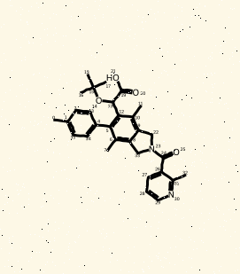 Cc1ccc(-c2c(C)c3c(c(C)c2C(OC(C)(C)C)C(=O)O)CN(C(=O)c2cccnc2C)C3)cc1